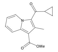 COC(=O)c1c(C)c(C(=O)C2CC2)n2ccccc12